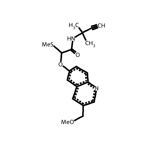 C#CC(C)(C)NC(=O)C(Oc1ccc2ncc(COC)cc2c1)SC